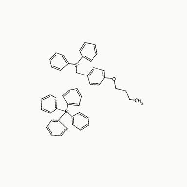 CCCCOc1ccc(C[S+](c2ccccc2)c2ccccc2)cc1.c1ccc([B-](c2ccccc2)(c2ccccc2)c2ccccc2)cc1